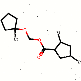 CCC1CC(CC)C(C(=O)OCOC2(CC)CCCC2)C1